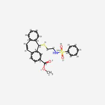 COC(=O)c1ccc2c(c1)C(SCCNS(=O)(=O)c1ccccc1)c1ccccc1C=C2